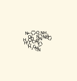 CN1CCN=C1c1cccc(Oc2nc(NCc3ccccc3)c(N)c(Oc3ccc(C#N)c(C(=O)OC(C)(C)C)c3)n2)c1